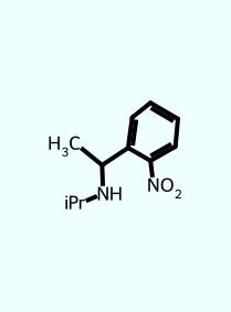 CC(C)NC(C)c1ccccc1[N+](=O)[O-]